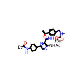 C=C(OC(=N)c1nc(C2=CCC(NC(=O)CC)CC2)cnc1NC(C)=O)c1ccc(CN(C)C(=O)OC(C)(C)C)cc1